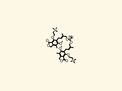 COc1c(C)c2c(c(OCC[Si](C)(C)C)c1CC=C(C)CO[PH](=O)OCC(C)=CCc1c(OC)c(C)c3c(c1OCC[Si](C)(C)C)C(=O)OC3)C(=O)OC2